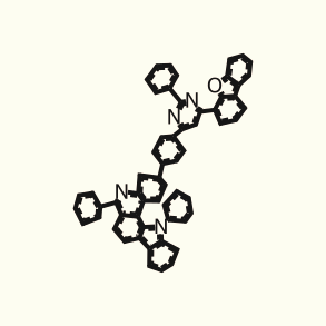 c1ccc(-c2nc(-c3ccc(-c4ccc5c(c4)nc(-c4ccccc4)c4ccc6c7ccccc7n(-c7ccccc7)c6c45)cc3)cc(-c3cccc4c3oc3ccccc34)n2)cc1